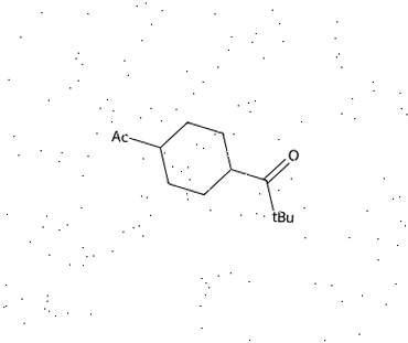 CC(=O)C1CCC(C(=O)C(C)(C)C)CC1